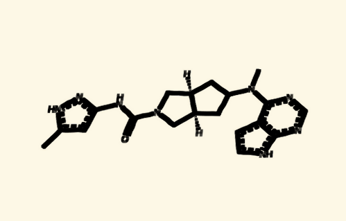 Cc1cc(NC(=O)N2C[C@H]3CC(N(C)c4ncnc5[nH]ccc45)C[C@H]3C2)n[nH]1